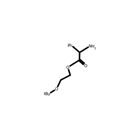 CC(C)C(N)C(=O)OCCOC(C)(C)C